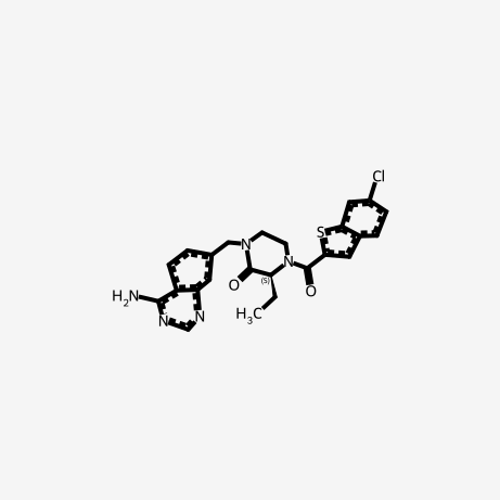 CC[C@H]1C(=O)N(Cc2ccc3c(N)ncnc3c2)CCN1C(=O)c1cc2ccc(Cl)cc2s1